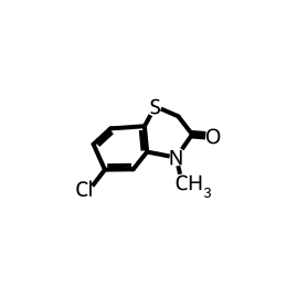 CN1C(=O)CSc2ccc(Cl)cc21